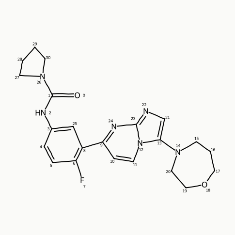 O=C(Nc1ccc(F)c(-c2ccn3c(N4CCCOCC4)cnc3n2)c1)N1CCCC1